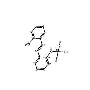 Oc1ccccc1N=Nc1ccccc1OC(F)(F)F